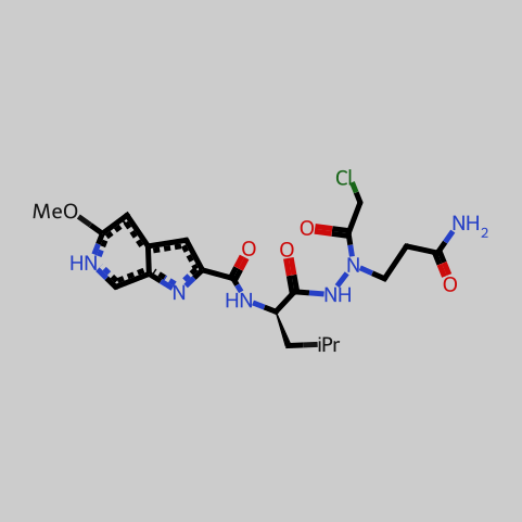 COc1cc2cc(C(=O)N[C@H](CC(C)C)C(=O)NN(CCC(N)=O)C(=O)CCl)nc-2c[nH]1